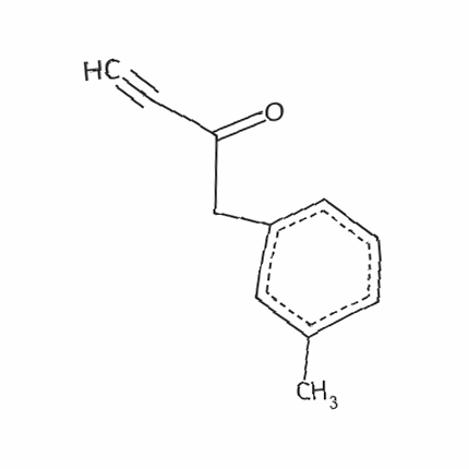 C#CC(=O)Cc1cccc(C)c1